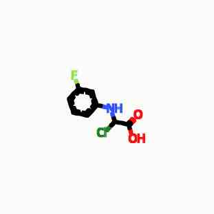 O=C(O)C(Cl)Nc1cccc(F)c1